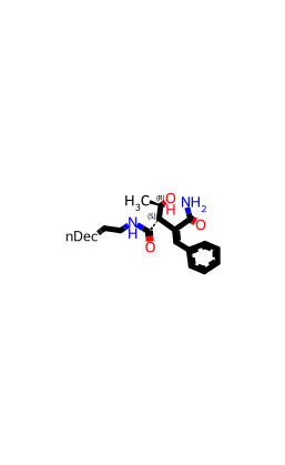 CCCCCCCCCCCCNC(=O)[C@@H](C(=Cc1ccccc1)C(N)=O)[C@@H](C)O